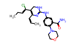 C/C=C\C1=C(C(/Cl)=C/CC)CNC(Nc2ccc(N3CCOCC3)c(C(N)=O)c2)=N1